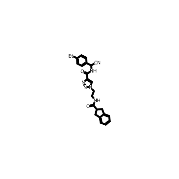 CCc1ccc(C(C#N)NC(=O)c2cn(CCNC(=O)C3Cc4ccccc4C3)nn2)cc1